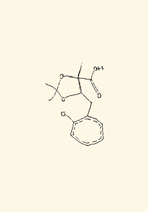 CC1(C)OC(Cc2ccccc2Cl)C(C)(C(=O)O)O1